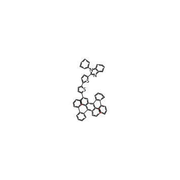 c1ccc(-c2ccccc2-c2c3ccccc3c(-c3ccccc3-c3ccccc3)c3cc(-c4ccc(-c5ccc(-c6nc7ccccc7n6-c6ccccc6)s5)s4)ccc23)cc1